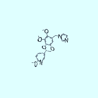 COc1ccc(C2COc3cc(Cn4ccnc4)c(OC)c(OC)c3O2)cn1